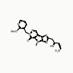 COc1ncccc1Cn1ncc2c3sc(CC(=N)/C=C\N)nc3n(C)c2c1=O